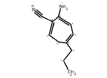 CCCC1=CC=C(N)C(C#N)=CC1